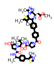 COC(=O)C[C@@H]1N=C(c2ccc(-c3ccc(C(=O)N4CC[C@@H](C(=O)N[C@H](C(=O)N5C[C@H](O)C[C@H]5C(=O)N[C@@H](C)c5ccc(-c6scnc6C)cc5)C(C)(C)C)C4)cc3)cc2)c2c(sc(C)c2C)-n2c(C)nnc21